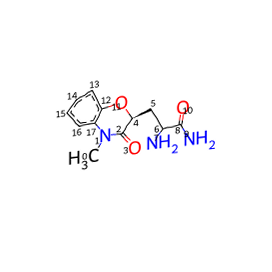 CN1C(=O)[C@H](CC(N)C(N)=O)Oc2ccccc21